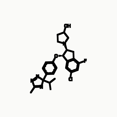 CC1=NC(c2ccc(O[C@H]3c4cc(Cl)cc(F)c4C[C@@H]3N3CCC(O)C3)cc2)(C(C)C)N=N1